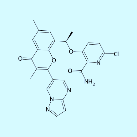 Cc1cc([C@@H](C)Oc2ccc(Cl)nc2C(N)=O)c2oc(-c3cnc4ccnn4c3)c(C)c(=O)c2c1